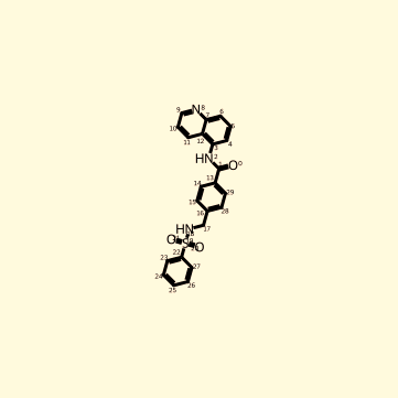 O=C(Nc1cccc2ncccc12)c1ccc(CNS(=O)(=O)c2ccccc2)cc1